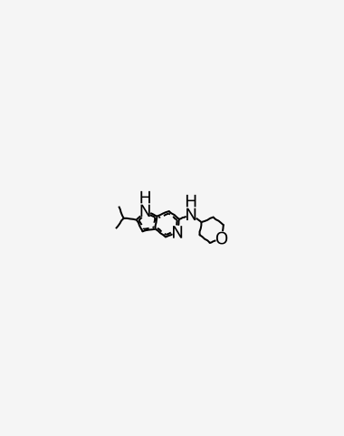 CC(C)c1cc2cnc(NC3CCOCC3)cc2[nH]1